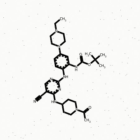 CCN1CCN(c2ccc(Nc3ncc(C#N)c(NC4CCN(C(C)=O)CC4)n3)c(NC(=O)OC(C)(C)C)c2)CC1